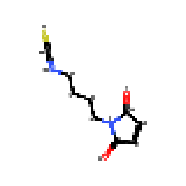 O=C1C=CC(=O)N1CCCCN=C=S